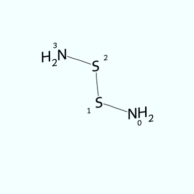 NSSN